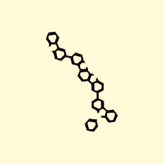 c1ccc(-n2c3ccccc3c3cc(-c4ccc5oc6c(ccc7c8cc(-c9ccc%10oc%11ccccc%11c%10c9)ccc8oc76)c5c4)ccc32)cc1